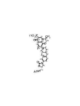 CC(=O)NC[C@H]1CN(c2ccc(SC3CCN(c4c(F)cc5c(=O)c(C(=O)O)cn6c5c4OCC6C)CC3)c(F)c2)C(=O)O1